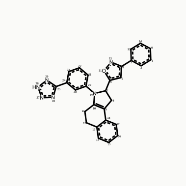 c1ccc(-c2cc(C3CC4=C(CCc5ccccc54)N3c3cccc(-c4nn[nH]n4)c3)on2)cc1